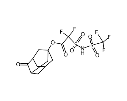 O=C1C2CC3CC1CC(OC(=O)C(F)(F)S(=O)(=O)NS(=O)(=O)C(F)(F)F)(C3)C2